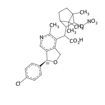 Cc1ncc2c(c1C(C(=O)O)C1C3CCC(C)(C1O[N+](=O)[O-])C3(C)C)CO[C@H]2c1ccc(Cl)cc1